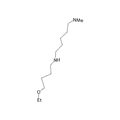 CCOCCCCNCCCCCNC